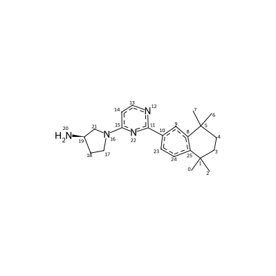 CC1(C)CCC(C)(C)c2cc(-c3nccc(N4CC[C@@H](N)C4)n3)ccc21